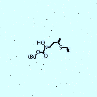 C=CSC(=C)CCN(O)C(=O)OC(C)(C)C